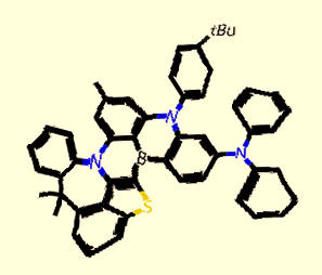 Cc1cc2c3c(c1)N1c4ccccc4C(C)(C)c4cccc5sc(c1c45)B3c1ccc(N(C3=CC=CCC3)c3ccccc3)cc1N2C1=CCC(C(C)(C)C)C=C1